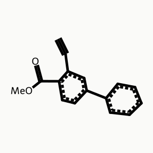 C#Cc1cc(-c2ccccc2)ccc1C(=O)OC